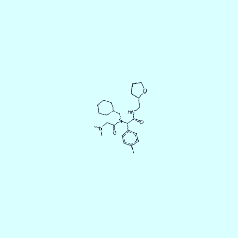 Cc1ccc(C(C(=O)NCC2CCCO2)N(CC2CCCCC2)C(=O)CN(C)C)cc1